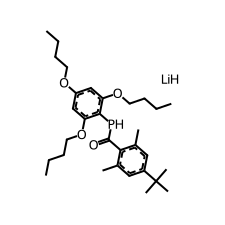 CCCCOc1cc(OCCCC)c(PC(=O)c2c(C)cc(C(C)(C)C)cc2C)c(OCCCC)c1.[LiH]